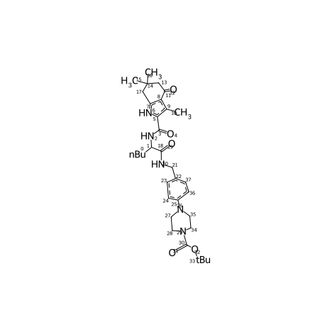 CCCCC(NC(=O)c1[nH]c2c(c1C)C(=O)CC(C)(C)C2)C(=O)NCc1ccc(N2CCN(C(=O)OC(C)(C)C)CC2)cc1